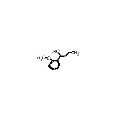 [CH2]CCC(O)c1ccccc1OC